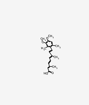 COc1cc(C)c(/C=C/C(C)=C/C=C/C(C)=C/C(=O)O)c(C)c1OC